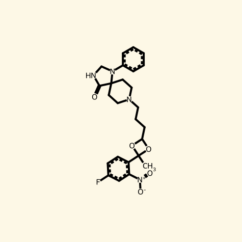 CC1(c2ccc(F)cc2[N+](=O)[O-])OC(CCCN2CCC3(CC2)C(=O)NCN3c2ccccc2)O1